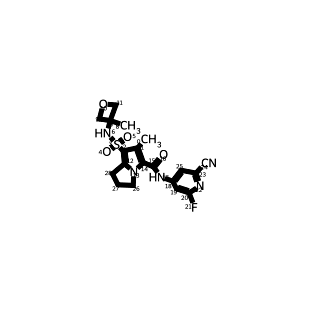 Cc1c(S(=O)(=O)NC2(C)COC2)c2n(c1C(=O)Nc1cc(F)nc(C#N)c1)CCC2